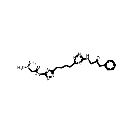 CN(C)CC(=O)Nc1nnc(CCCCc2nnc(NCC(=O)Cc3ccccc3)s2)s1